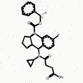 C[C@H](OC(=O)N1c2cc(F)ccc2C(N(C(=O)CCC(=O)O)C2CC2)C2CCCC21)c1ccccc1